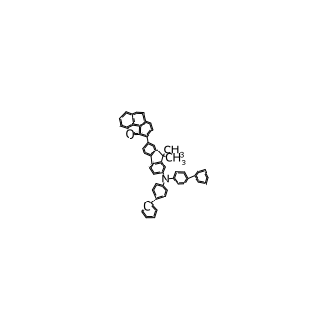 CC1(C)c2cc(-c3ccc4ccc5cccc6oc3c4c56)ccc2-c2ccc(N(c3ccc(-c4ccccc4)cc3)c3ccc(-c4ccccc4)cc3)cc21